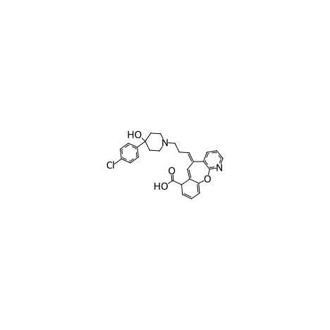 O=C(O)C1C=CC=C2Oc3ncccc3C(=CCCN3CCC(O)(c4ccc(Cl)cc4)CC3)C=C21